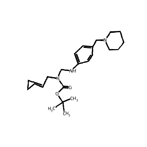 CC(C)(C)OC(=O)N(CC=C1CC1)CNc1ccc(CN2CCCCC2)cc1